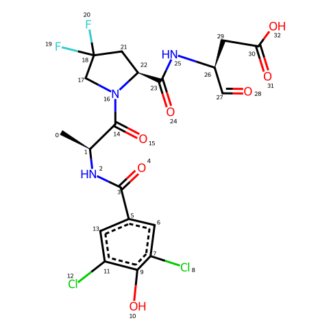 C[C@H](NC(=O)c1cc(Cl)c(O)c(Cl)c1)C(=O)N1CC(F)(F)C[C@H]1C(=O)N[C@H](C=O)CC(=O)O